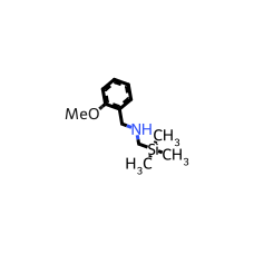 COc1ccccc1CNC[Si](C)(C)C